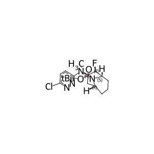 CN(c1ccc(Cl)nn1)[C@@H]1C[C@H]2CCC[C@@H]([C@@H]1F)N2C(=O)OC(C)(C)C